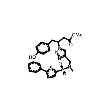 COC(=O)CC(Cc1ccc(O)cc1)n1cc(CN(C)S(=O)(=O)c2ccc(-c3ccccc3)s2)nn1